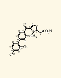 Cn1c(CC(=O)O)ccc1C(=O)c1ccc(-c2ccc(Cl)cc2Cl)cc1